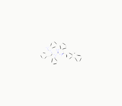 CC1(C)c2ccccc2-c2ccc(-c3nc(-n4c5ccccc5c5c6ccccc6c6nc7ccccc7n6c54)nc4ccccc34)cc21